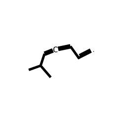 [CH]=CC=C=CC(C)C